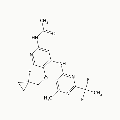 CC(=O)Nc1cc(Nc2cc(C)nc(C(C)(F)F)n2)c(OCC2(F)CC2)cn1